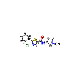 N#CN1CC[C@@H](NC(=O)c2cnc(-c3ccccc3Cl)s2)C1